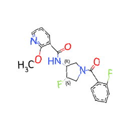 COc1ncccc1C(=O)N[C@@H]1CN(C(=O)c2ccccc2F)C[C@@H]1F